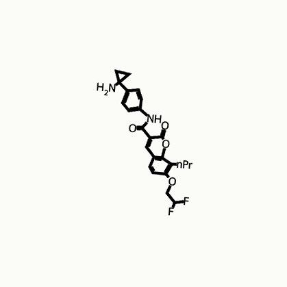 CCCc1c(OCC(F)F)ccc2cc(C(=O)Nc3ccc(C4(N)CC4)cc3)c(=O)oc12